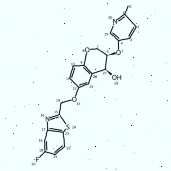 Cc1ccc(O[C@@H]2COc3ccc(OCc4nc5cc(F)ccc5s4)cc3[C@@H]2O)cn1